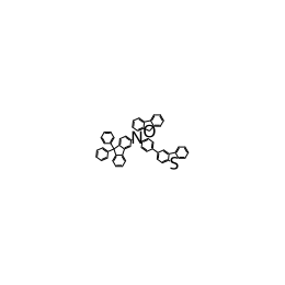 c1ccc(C2(c3ccccc3)c3ccccc3-c3cc(N(c4ccc(-c5ccc6sc7ccccc7c6c5)cc4)c4cccc5c4oc4ccccc45)ccc32)cc1